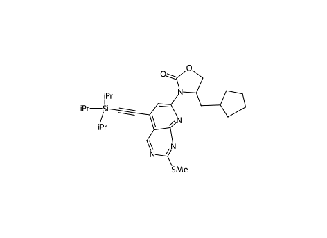 CSc1ncc2c(C#C[Si](C(C)C)(C(C)C)C(C)C)cc(N3C(=O)OCC3CC3CCCC3)nc2n1